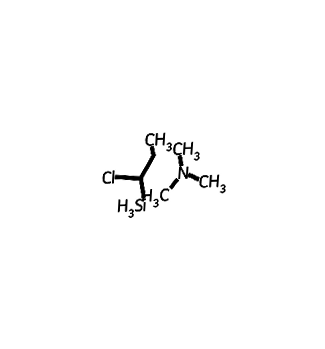 CCC([SiH3])Cl.CN(C)C